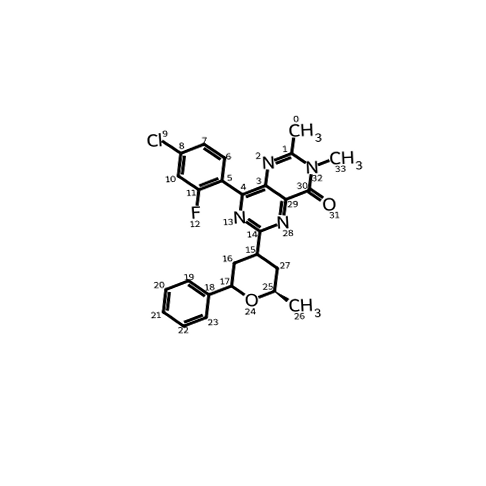 Cc1nc2c(-c3ccc(Cl)cc3F)nc(C3CC(c4ccccc4)O[C@H](C)C3)nc2c(=O)n1C